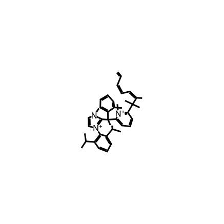 C=C/C=C\C=C(\C)C(C)(C)c1cccc(C(C)(c2ccccc2C)c2n(C)cc[n+]2-c2c(C(C)C)cccc2C(C)C)[n+]1C